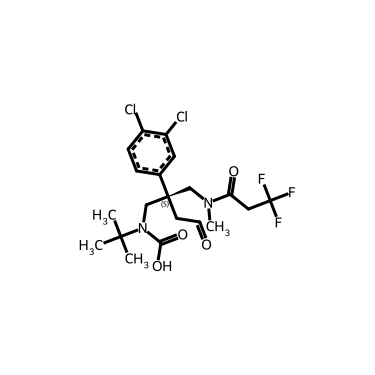 CN(C[C@@](CC=O)(CN(C(=O)O)C(C)(C)C)c1ccc(Cl)c(Cl)c1)C(=O)CC(F)(F)F